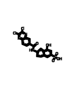 O=C(Nc1ccc2cc(S(=O)(=O)O)cc(O)c2c1)c1ccc2nc(Cl)c(Cl)nc2c1